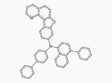 c1ccc(-c2ccc(N(c3ccc4c(c3)sc3ccc5cccnc5c34)c3ccc(-c4ccccc4)c4ccccc34)cc2)cc1